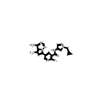 Nc1ncnn2c(-c3cnc(F)c(C(=O)Nc4cnn(CC5CC5)c4)c3)cc(C(F)(F)F)c12